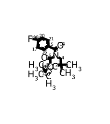 CC(C)(C)CN(C(=O)OC(C)(C)C)C(=O)c1ccc(F)cc1